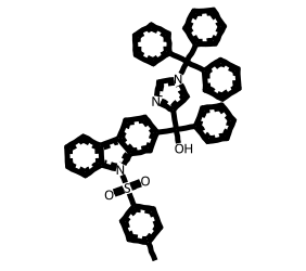 Cc1ccc(S(=O)(=O)n2c3ccccc3c3ccc(C(O)(c4ccccc4)c4cn(C(c5ccccc5)(c5ccccc5)c5ccccc5)cn4)cc32)cc1